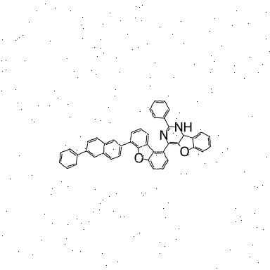 c1ccc(C2=NC(c3cccc4oc5c(-c6ccc7cc(-c8ccccc8)ccc7c6)cccc5c34)=C3Oc4ccccc4C3N2)cc1